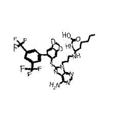 CCCCCC(NCCCn1c(Sc2cc3c(cc2-c2cc(C(F)(F)F)cc(C(F)(F)F)c2)OCO3)nc2c(N)ncnc21)NC(=O)O